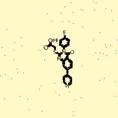 O=C(O)CSc1nc2cc(-c3ccncc3)ccc2c(=O)n1-c1ccc(F)cc1